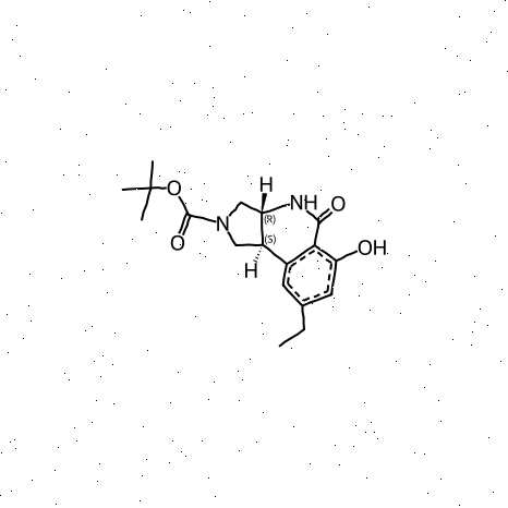 CCc1cc(O)c2c(c1)[C@H]1CN(C(=O)OC(C)(C)C)C[C@@H]1NC2=O